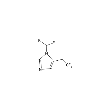 FC(F)n1[c]n[c]c1CC(F)(F)F